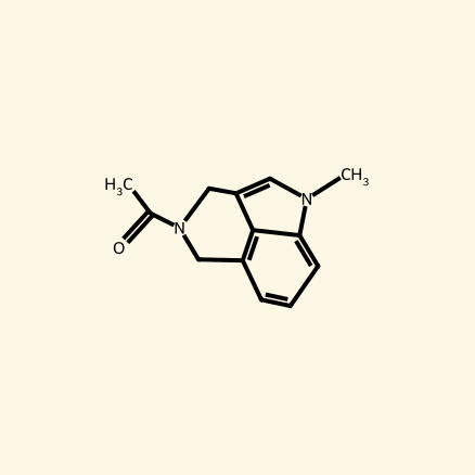 CC(=O)N1Cc2cccc3c2c(cn3C)C1